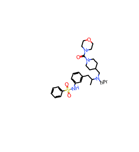 CCCN(CC1CCN(C(=O)N2CCOCC2)CC1)C(C)Cc1cccc(NS(=O)(=O)c2ccccc2)c1